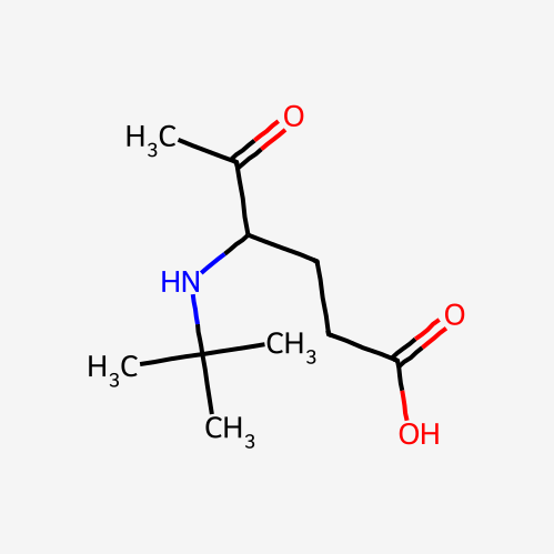 CC(=O)C(CCC(=O)O)NC(C)(C)C